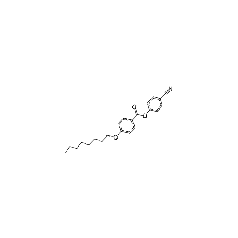 CCCCCCCCOc1ccc(C(=O)Oc2ccc(C#N)cc2)cc1